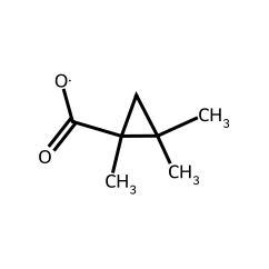 CC1(C)CC1(C)C([O])=O